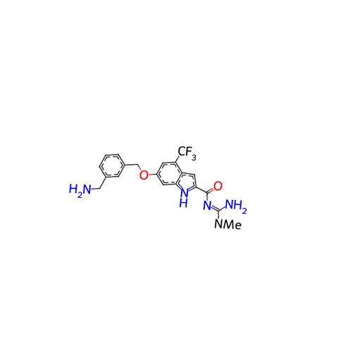 CNC(N)=NC(=O)c1cc2c(C(F)(F)F)cc(OCc3cccc(CN)c3)cc2[nH]1